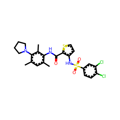 Cc1cc(C)c(N2CCCC2)c(C)c1NC(=O)c1sccc1NS(=O)(=O)c1ccc(Cl)c(Cl)c1